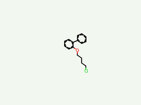 ClCCCCOc1ccccc1-c1ccccc1